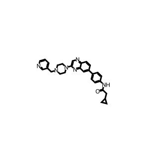 O=C(CC1CC1)Nc1ccc(-c2ccc3ncc(N4CCN(Cc5cccnc5)CC4)nc3c2)cc1